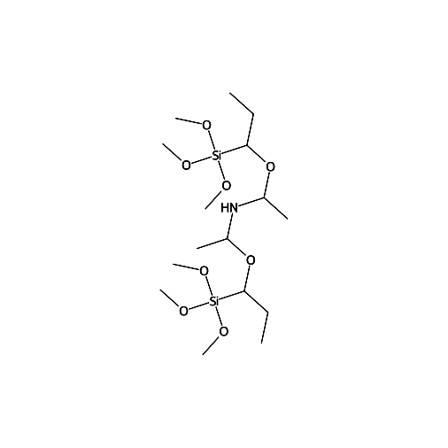 CCC(OC(C)NC(C)OC(CC)[Si](OC)(OC)OC)[Si](OC)(OC)OC